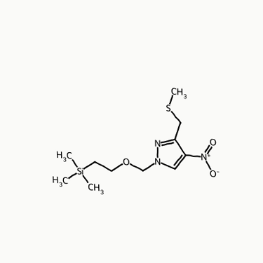 CSCc1nn(COCC[Si](C)(C)C)cc1[N+](=O)[O-]